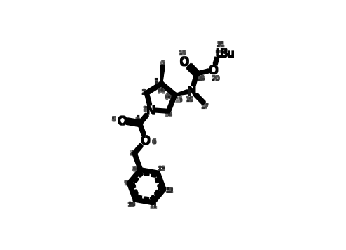 C[C@@H]1CN(C(=O)OCc2ccccc2)C[C@@H]1N(C)C(=O)OC(C)(C)C